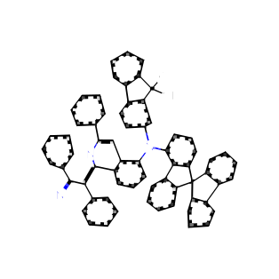 CC1(C)c2ccccc2-c2ccc(N(c3cccc4c3C=C(c3ccccc3)N/C4=C(\C(=N)c3ccccc3)c3ccccc3)c3cccc4c3-c3ccccc3C43c4ccccc4-c4ccccc43)cc21